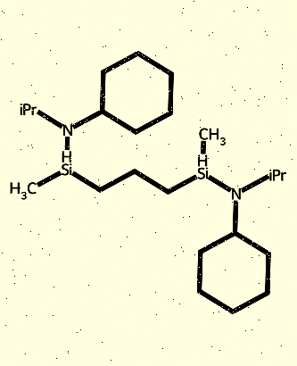 CC(C)N(C1CCCCC1)[SiH](C)CCC[SiH](C)N(C(C)C)C1CCCCC1